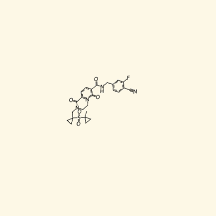 CC1(S(=O)(=O)C2(CN3CCn4c(ccc(C(=O)NCc5ccc(C#N)c(F)c5)c4=O)C3=O)CC2)CC1